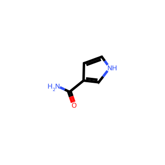 NC(=O)c1[c][nH]cc1